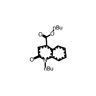 CCCCOC(=O)c1cc(=O)n(CCCC)c2ccccc12